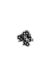 C=C[C@@H]1CN2CCC1C[C@@H]2C(O)c1ccnc2ccc(OC)cc12.Cc1cc(Oc2cc(C)c3ccccc3n2)nc2ccccc12